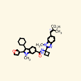 C/C(=C\c1ccc2nc(C3(NC(=O)c4ccc5c(C6CCCCC6)c(-c6ccoc6)n(C)c5c4)CCC3)n(C)c2c1)C(=O)O